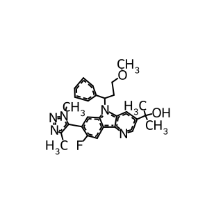 COCCC(c1ccccc1)n1c2cc(-c3c(C)nnn3C)c(F)cc2c2ncc(C(C)(C)O)cc21